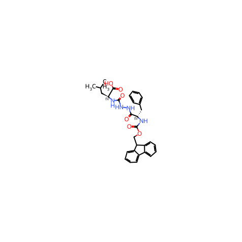 CC(C)C[C@H](NC(=O)NNC(=O)[C@H](Cc1ccccc1)NC(=O)OCC1c2ccccc2-c2ccccc21)C(=O)O